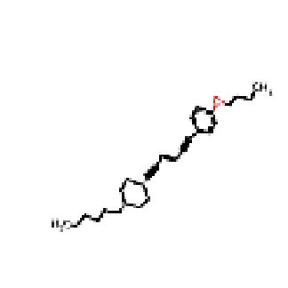 CCCCCC[C@H]1CC[C@H](C#C/C=C/C#Cc2ccc(OCCCC)cc2)CC1